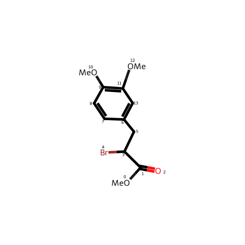 COC(=O)C(Br)Cc1ccc(OC)c(OC)c1